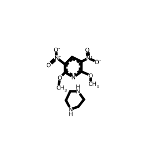 C1CNCCN1.COc1nc(OC)c([N+](=O)[O-])cc1[N+](=O)[O-]